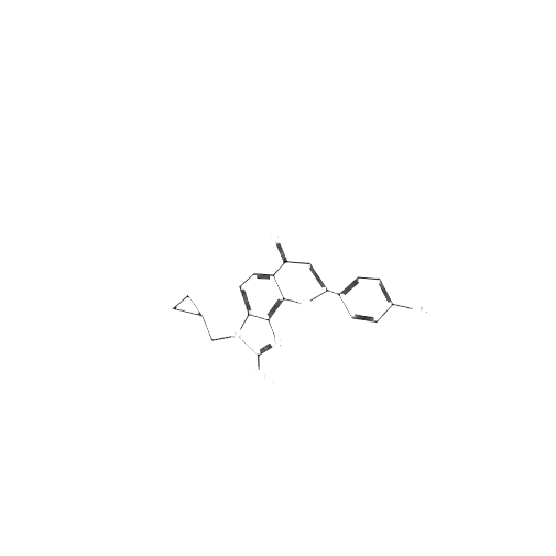 N#Cc1ccc(-c2cc(=O)c3ccc4c(nc(C(F)(F)F)n4CC4CC4)c3o2)cc1